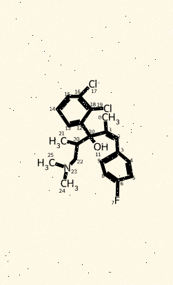 CC(=Cc1ccc(F)cc1)C(O)(c1cccc(Cl)c1Cl)C(C)CN(C)C